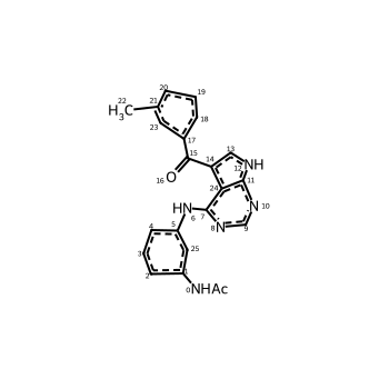 CC(=O)Nc1cccc(Nc2ncnc3[nH]cc(C(=O)c4cccc(C)c4)c23)c1